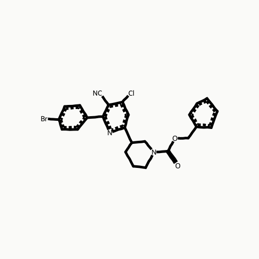 N#Cc1c(Cl)cc(C2CCCN(C(=O)OCc3ccccc3)C2)nc1-c1ccc(Br)cc1